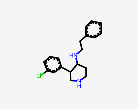 Clc1cccc(C2CNCCC2NCCc2ccccc2)c1